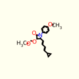 COCO[C@H]1C(=O)N(c2ccc(OC)cc2)C1C=CC=CC1CC1